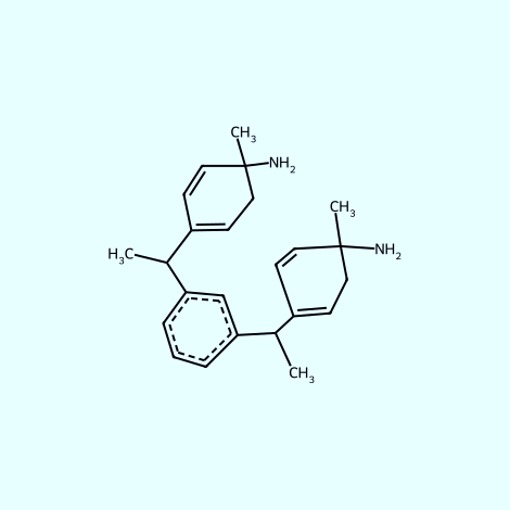 CC(C1=CCC(C)(N)C=C1)c1cccc(C(C)C2=CCC(C)(N)C=C2)c1